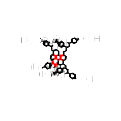 CC(C)Cc1ccc(CCC(CC(CC(CC(Cl)c2ccc(C(=O)O)cc2)c2ccc(C(=O)OC(C)(C)C)cc2)c2ccc(CCC(CC(Cl)c3ccc(C(=O)O)cc3)c3ccc(C(=O)OC(C)(C)C)cc3)cc2)c2ccc(CCC(CC(Cl)c3ccc(C(=O)O)cc3)c3ccc(C(=O)OC(C)(C)C)cc3)cc2)cc1